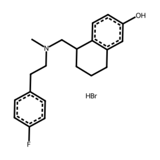 Br.CN(CCc1ccc(F)cc1)CC1CCCc2cc(O)ccc21